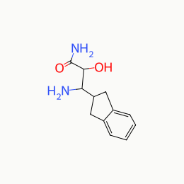 NC(=O)C(O)C(N)C1Cc2ccccc2C1